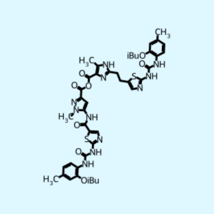 Cc1ccc(NC(=O)Nc2ncc(CCc3nc(C(=O)OC(=O)c4cc(NC(=O)c5cnc(NC(=O)Nc6ccc(C)cc6OCC(C)C)s5)n(C)n4)c(C)[nH]3)s2)c(OCC(C)C)c1